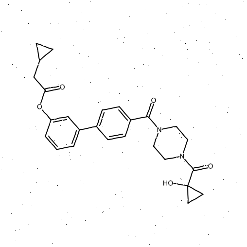 O=C(CC1CC1)Oc1cccc(-c2ccc(C(=O)N3CCN(C(=O)C4(O)CC4)CC3)cc2)c1